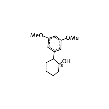 COc1cc(OC)cc(C2CCCC[C@@H]2O)c1